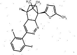 Cc1cnc([C@@]23CC[C@@H](C4C=C(c5c(F)cccc5F)N=NC42)C3(C)C)o1